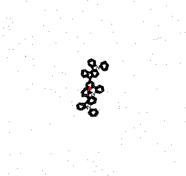 c1ccc(-n2c3ccccc3c3c4c(ccc32)C(c2cccc(-c3ccccc3-n3c5ccccc5c5c6c7ccccc7n(-c7ccccc7)c6ccc53)c2)c2ccccc2-4)cc1